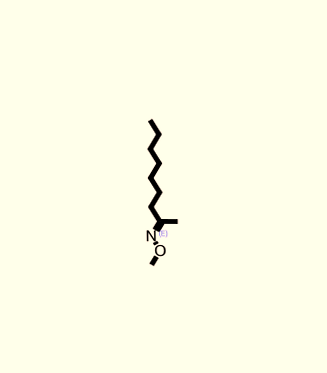 CCCCCCC/C(C)=N/OC